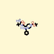 CNC(=O)[C@@H](NC(=O)c1nc(-c2ccccc2)n2c1CCN(C(=O)OC(C)(C)C)CC2)C(C)(C)C